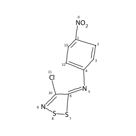 O=[N+]([O-])c1ccc(N=c2ssnc2Cl)cc1